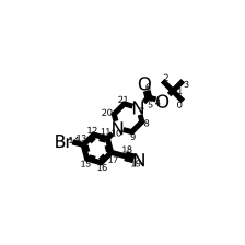 CC(C)(C)OC(=O)N1CCN(c2cc(Br)ccc2C#N)CC1